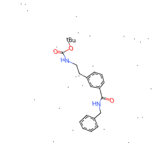 CC(C)(C)OC(=O)NCCc1cccc(C(=O)NCc2ccccc2)c1